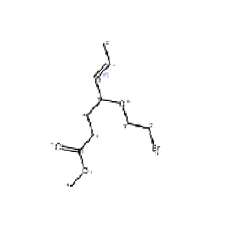 C/C=C/C(CCC(=O)OC)OCCBr